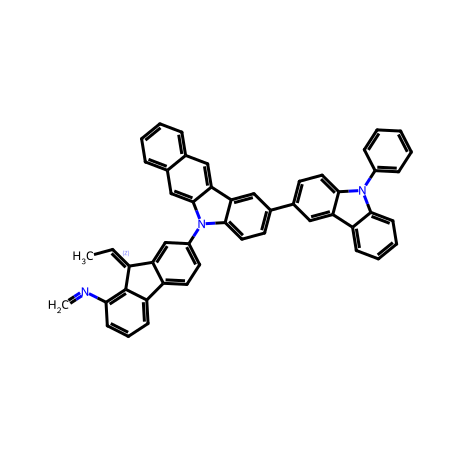 C=Nc1cccc2c1/C(=C\C)c1cc(-n3c4ccc(-c5ccc6c(c5)c5ccccc5n6-c5ccccc5)cc4c4cc5ccccc5cc43)ccc1-2